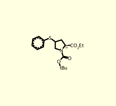 CCOC(=O)[C@@H]1CC(Sc2ccccc2)CN1C(=O)OC(C)(C)C